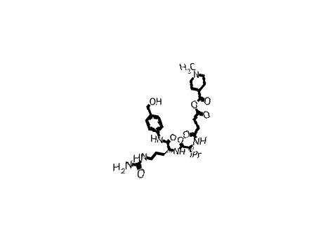 CC(C)[C@H](NC(=O)CCC(=O)OC(=O)C1CCN(C)CC1)C(=O)N[C@@H](CCCNC(N)=O)C(=O)Nc1ccc(CO)cc1